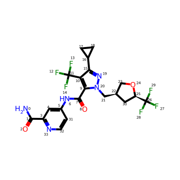 NC(=O)c1cc(NC(=O)c2c(C(F)(F)F)c(C3CC3)nn2C[C@H]2CO[C@@H](C(F)(F)F)C2)ccn1